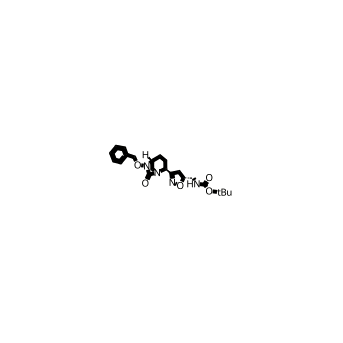 CC(C)(C)OC(=O)NC[C@H]1CC([C@@H]2CC[C@@H]3CN2C(=O)N3OCc2ccccc2)=NO1